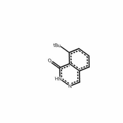 CC(C)(C)c1cccc2cn[nH]c(=O)c12